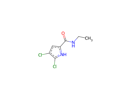 CCNC(=O)c1cc(Cl)c(Cl)[nH]1